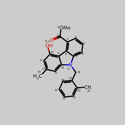 COC(=O)c1cccc2c1c1c(O)cc(C)cc1n2Cc1ccccc1C#N